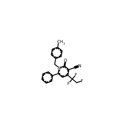 Cc1ccc(Cn2c(-c3ccccc3)cc(C(F)(F)CF)c(C#N)c2=O)cc1